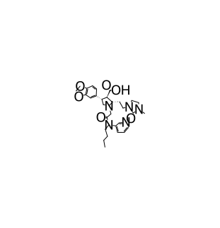 CCCCN(C(=O)CN1C[C@H](c2ccc3c(c2)OCO3)[C@@H](C(=O)O)[C@@H]1CCN1CCN(C)C1=O)c1cccnc1